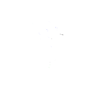 C[C@H](Nc1ncc(F)c(N2C(=O)OC[C@@H]2[C@H](C)F)n1)c1cn(-c2ccc(Cl)cc2)cn1